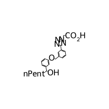 CCCCCC(O)c1cccc(OCc2cccc(-c3nnn(CC(=O)O)n3)c2)c1